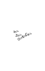 [Al+3].[Ga+3].[In+3].[O-2].[Zn+2]